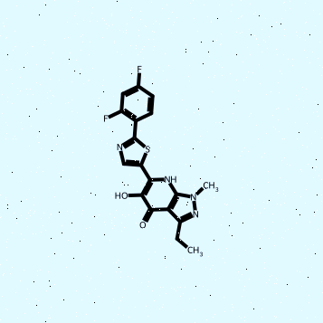 CCc1nn(C)c2[nH]c(-c3cnc(-c4ccc(F)cc4F)s3)c(O)c(=O)c12